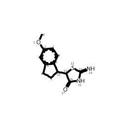 COc1ccc2c(c1)CCC2C1SC(=N)NC1=O